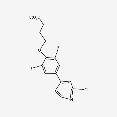 CCOC(=O)CCCOc1c(F)cc(-c2ccnc(Cl)c2)cc1F